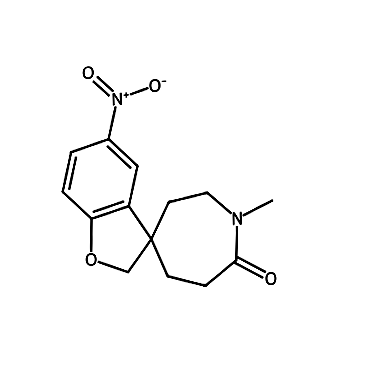 CN1CCC2(CCC1=O)COc1ccc([N+](=O)[O-])cc12